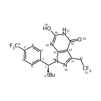 CC(C)(C)[C@@H](c1ccc(C(F)(F)F)cc1)n1nc(CC(F)(F)F)c2c(=O)[nH]c(O)nc21